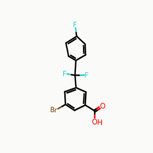 O=C(O)c1cc(Br)cc(C(F)(F)c2ccc(F)cc2)c1